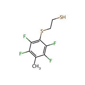 Cc1c(F)c(F)c(SCCS)c(F)c1F